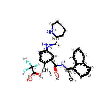 Cc1ccc(NC[C@H]2CCCCN2)cc1C(=O)N[C@H](C)c1cccc2ccccc12.O=C(O)C(F)(F)F